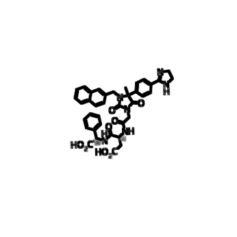 CC1(c2ccc(C3=NCCN3)cc2)C(=O)N(CC(=O)N[C@@H](CC(=O)O)C(=O)N[C@H](C(=O)O)c2ccccc2)C(=O)N1Cc1ccc2ccccc2c1